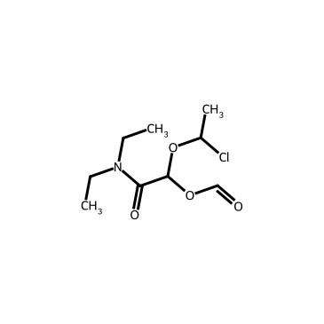 CCN(CC)C(=O)C(OC=O)OC(C)Cl